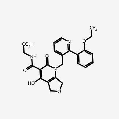 O=C(O)CNC(=O)c1c(O)c2c(n(Cc3cccnc3-c3ccccc3OCC(F)(F)F)c1=O)COC2